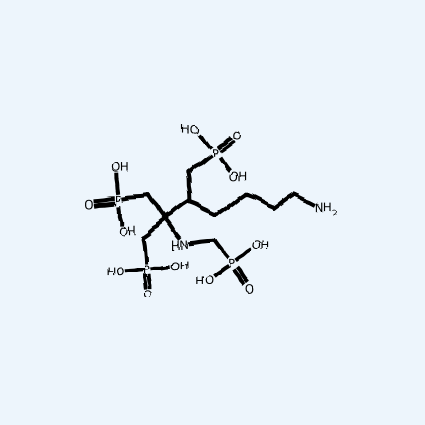 NCCCCC(CP(=O)(O)O)C(CP(=O)(O)O)(CP(=O)(O)O)NCP(=O)(O)O